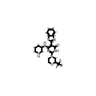 O=c1[nH]c(N2CCOC(C(F)(F)F)C2)nc(NC2CCCNC2)c1-c1nc2ccccc2s1